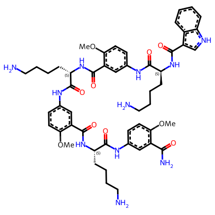 COc1ccc(NC(=O)[C@H](CCCCN)NC(=O)c2cc(NC(=O)[C@H](CCCCN)NC(=O)c3cc(NC(=O)[C@H](CCCCN)NC(=O)c4c[nH]c5ccccc45)ccc3OC)ccc2OC)cc1C(N)=O